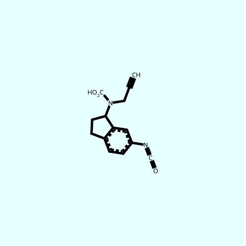 C#CCN(C(=O)O)C1CCc2ccc(N=C=O)cc21